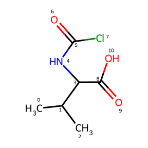 CC(C)C(NC(=O)Cl)C(=O)O